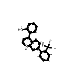 Oc1ccccc1-c1ccnc2cc(-c3ccccc3C(F)(F)F)ccc12